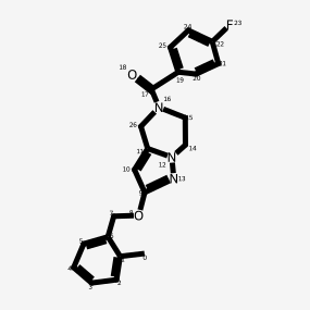 Cc1ccccc1COc1cc2n(n1)CCN(C(=O)c1ccc(F)cc1)C2